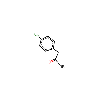 CC(C)(C)C(=O)Cc1ccc(Cl)cc1